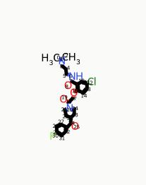 CN(C)CCCNC(=O)c1cc(Cl)ccc1OCC(=O)N1CCC(C(=O)c2ccc(F)cc2)CC1